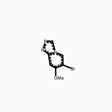 COc1cc2nncn2cc1Br